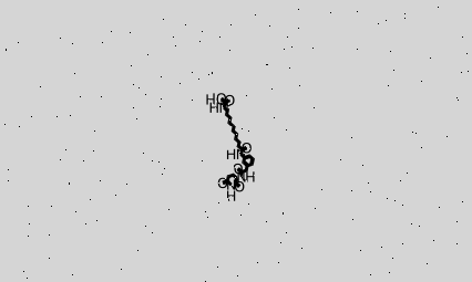 O=C(O)NCCCCCCCCCCC(=O)Nc1cccc(CC(=O)NC2CCC(=O)NC2=O)c1